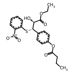 CCCC(=O)Oc1ccc([C@H](Sc2ccccc2[N+](=O)[O-])[C@@H](O)C(=O)OCC)cc1